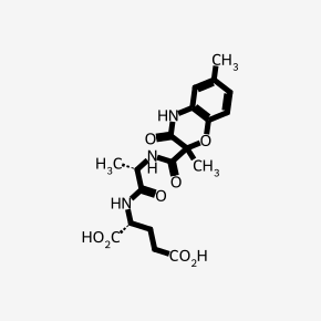 Cc1ccc2c(c1)NC(=O)C(C)(C(=O)N[C@@H](C)C(=O)N[C@H](CCC(=O)O)C(=O)O)O2